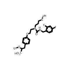 CCCSCCCN(CCOc1ccc(CC(OCC)C(=O)O)cc1)C(=O)NCc1ccc(F)cc1F